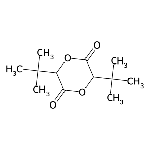 CC(C)(C)C1OC(=O)C(C(C)(C)C)OC1=O